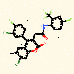 Cc1cc2c(-c3ccc(F)c(Cl)c3)c(CC(=O)Nc3ccc(F)cc3C(F)(F)F)c(=O)oc2cc1Cl